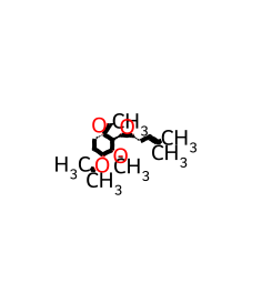 COC1C(OC(C)C)CC[C@@]2(O[C@@H]2C)C1[C@H]1O[C@@H]1CC=C(C)C